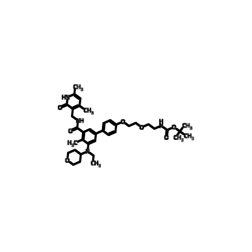 CCN(c1cc(-c2ccc(OCCOCCNC(=O)OC(C)(C)C)cc2)cc(C(=O)NCc2c(C)cc(C)[nH]c2=O)c1C)C1CCOCC1